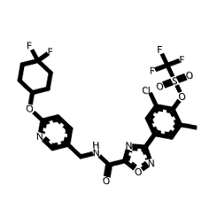 Cc1cc(-c2noc(C(=O)NCc3ccc(OC4CCC(F)(F)CC4)nc3)n2)cc(Cl)c1OS(=O)(=O)C(F)(F)F